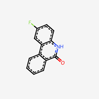 O=c1[nH]c2ccc(F)cc2c2ccccc12